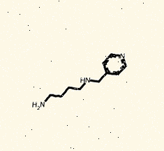 NCCCCNCc1ccncc1